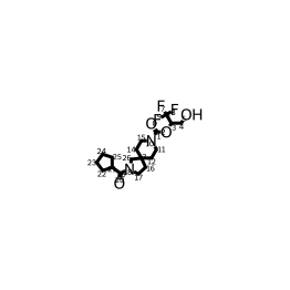 O=C(OC(CO)C(F)(F)F)N1CCC2(CC1)CCN(C(=O)C1CCCC1)C2